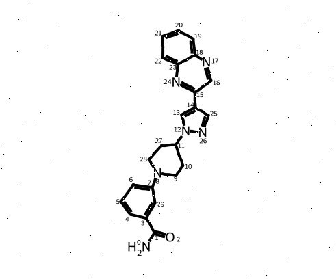 NC(=O)c1cccc(N2CCC(n3cc(-c4cnc5ccccc5n4)cn3)CC2)c1